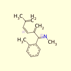 C=C(C)/C=C\C(=C)/C(=N/C)c1ccccc1C